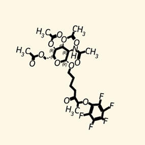 CC(=O)N[C@H]1[C@H](OCCCCC(=O)C(C)Oc2c(F)c(F)c(F)c(F)c2F)O[C@H](COC(C)=O)[C@H](OC(C)=O)[C@@H]1OC(C)=O